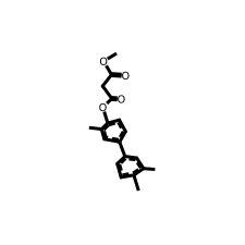 COC(=O)CC(=O)Oc1ccc(-c2ccc(C)c(C)c2)cc1C